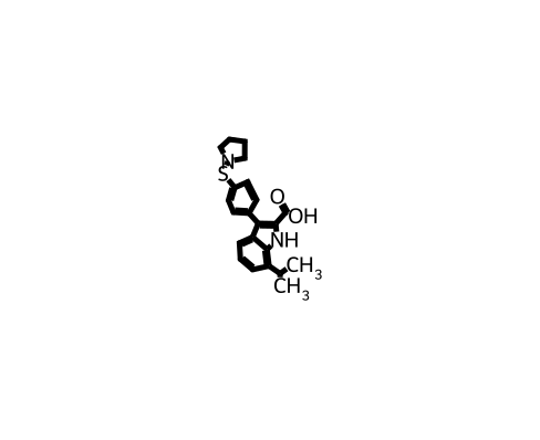 CC(C)c1cccc2c(-c3ccc(SN4CCCC4)cc3)c(C(=O)O)[nH]c12